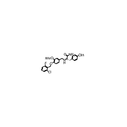 COc1cc(CN[C@@H](Cc2ccc(O)cc2)C(N)=O)ccc1OCc1c(F)cccc1Cl